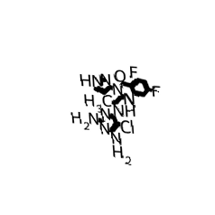 CC(Nc1nc(N)nc(N)c1Cl)c1nc2cc(F)cc(F)c2c(=O)n1-c1cc[nH]n1